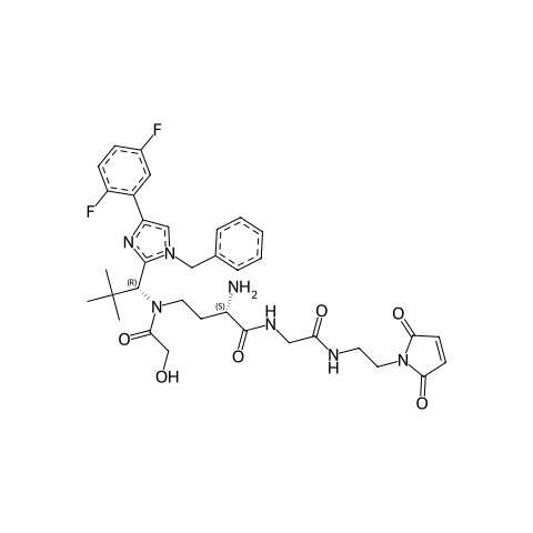 CC(C)(C)[C@H](c1nc(-c2cc(F)ccc2F)cn1Cc1ccccc1)N(CC[C@H](N)C(=O)NCC(=O)NCCN1C(=O)C=CC1=O)C(=O)CO